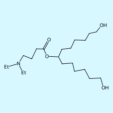 CCN(CC)CCCC(=O)OC(CCCCCCO)CCCCCCO